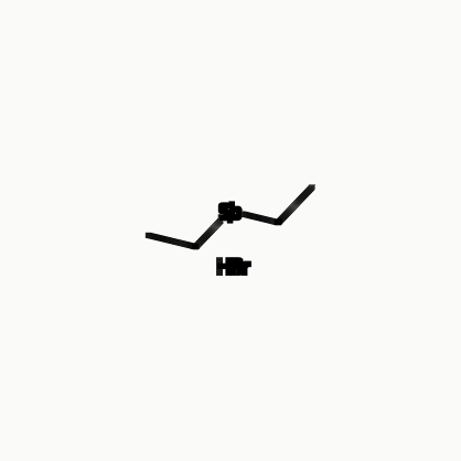 Br.C[CH2][Sb][CH2]C